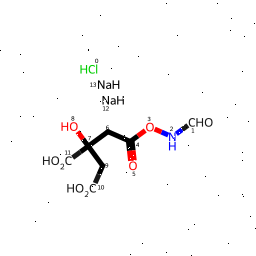 Cl.O=CNOC(=O)CC(O)(CC(=O)O)C(=O)O.[NaH].[NaH]